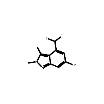 Cn1nc2cc(Br)cc(C(F)F)c2c1I